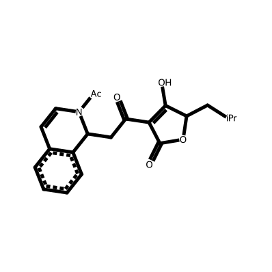 CC(=O)N1C=Cc2ccccc2C1CC(=O)C1=C(O)C(CC(C)C)OC1=O